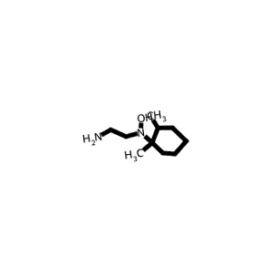 CC1CCCCC1(C)N(O)CCN